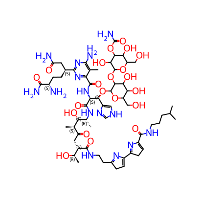 Cc1c(N)nc([C@@H](CC[C@H](N)C(N)=O)CC(N)=O)nc1C(=O)N[C@H](C(=O)N[C@H](C)[C@@H](O)[C@H](C)C(=O)C[C@H](C(=O)NCCC1=NC(C2=NC(C(=O)NCCCC(C)C)=CC2)=CC1)[C@@H](C)O)[C@@H](OC1OC(CO)C(O)C(O)C1OC1OC(CO)C(O)C(OC(N)=O)C1O)c1c[nH]cn1